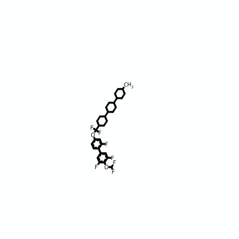 CC1CCC(C2CCC(C3CCC(C(F)(F)Oc4ccc(-c5cc(F)c(OC(F)F)c(F)c5)c(F)c4)CC3)CC2)CC1